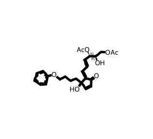 CC(=O)OC[C@@H](O)[C@H](C=CC=C1C(=O)C=CC1(O)CCCCOc1ccccc1)OC(C)=O